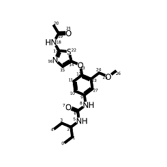 CCC(CC)NC(=O)Nc1ccc(Oc2cnc(NC(C)=O)s2)c(COC)c1